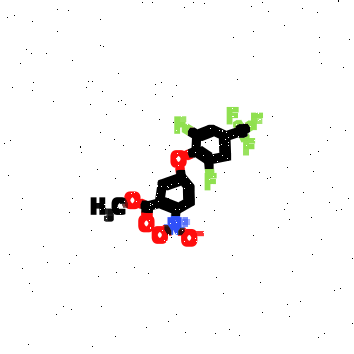 COC(=O)c1cc(Oc2c(F)cc(C(F)(F)F)cc2F)ccc1[N+](=O)[O-]